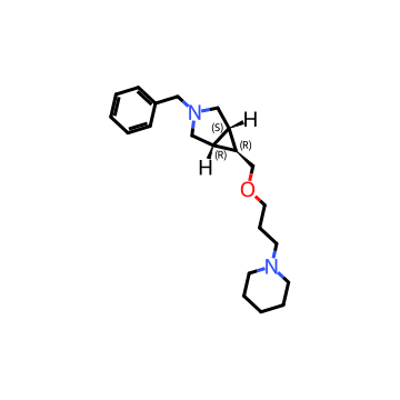 c1ccc(CN2C[C@@H]3[C@@H](COCCCN4CCCCC4)[C@@H]3C2)cc1